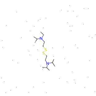 CCN(CCSSCCN(C(C)C)C(C)C)C(C)C